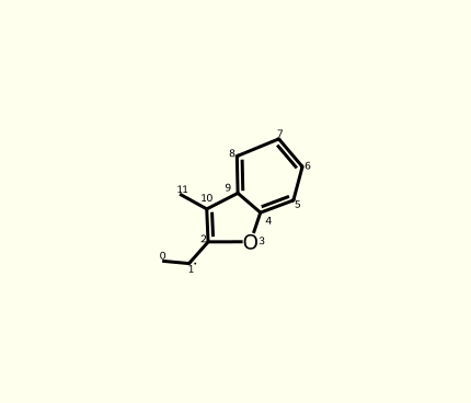 C[CH]c1oc2ccccc2c1C